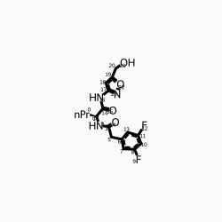 CCC[C@H](NC(=O)Cc1cc(F)cc(F)c1)C(=O)Nc1cc(CO)on1